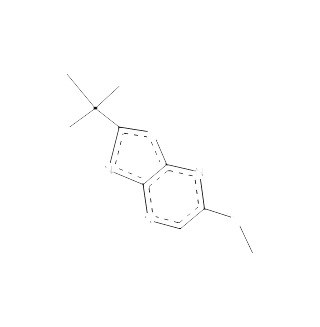 CSc1cnc2nc(C(C)(C)C)sc2n1